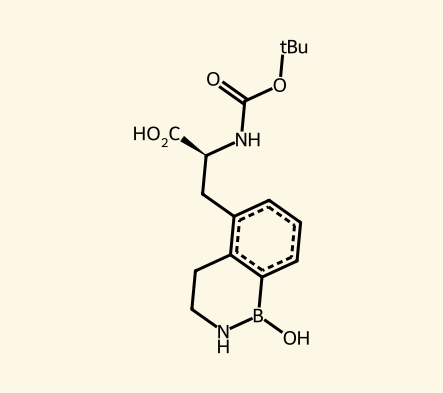 CC(C)(C)OC(=O)N[C@@H](Cc1cccc2c1CCNB2O)C(=O)O